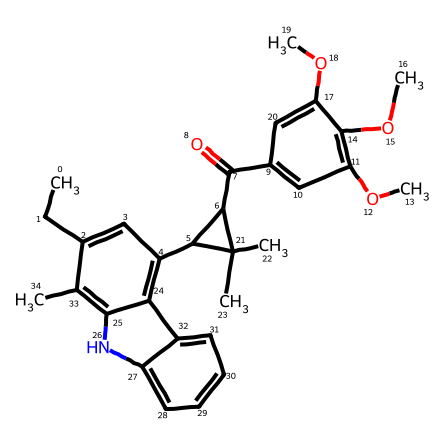 CCc1cc(C2C(C(=O)c3cc(OC)c(OC)c(OC)c3)C2(C)C)c2c([nH]c3ccccc32)c1C